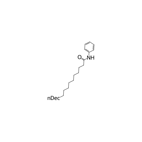 CCCCCCCCCCCCCCCCCCCC(=O)Nc1ccccc1